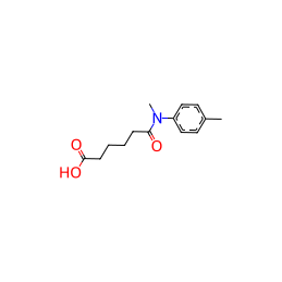 Cc1ccc(N(C)C(=O)CCCCC(=O)O)cc1